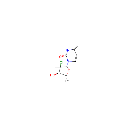 C=C1C=CN([C@@H]2O[C@H](CC)[C@@H](O)C2(C)Cl)C(=O)N1